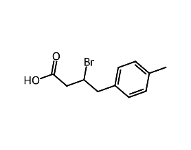 Cc1ccc(CC(Br)CC(=O)O)cc1